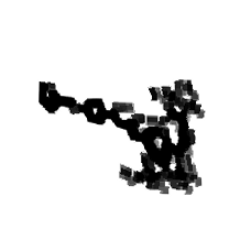 C[C@@H]([C@@H]1O[C@H]1C[C@@H]1OC[C@H](CC(=O)CC(O)c2ccc(OCc3ccco3)cc2)[C@@H](O[Si](C)(C)C)[C@@H]1O[Si](C)(C)C)[C@H](C)O[Si](C)(C)C